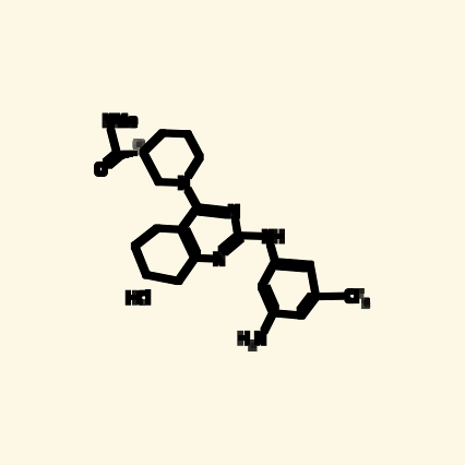 CNC(=O)[C@@H]1CCCN(c2nc(Nc3cc(N)cc(C(F)(F)F)c3)nc3c2CCCC3)C1.Cl